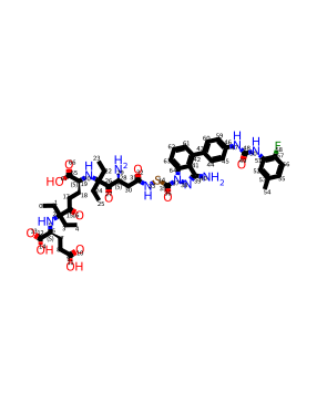 CCC(CC)(N[C@@H](CCC(=O)O)C(=O)O)C(=O)CC[C@H](NC(CC)(CC)C(=O)[C@@H](N)CC(=O)NSC(=O)n1nc(N)c2c(-c3ccc(NC(=O)Nc4cc(C)ccc4F)cc3)cccc21)C(=O)O